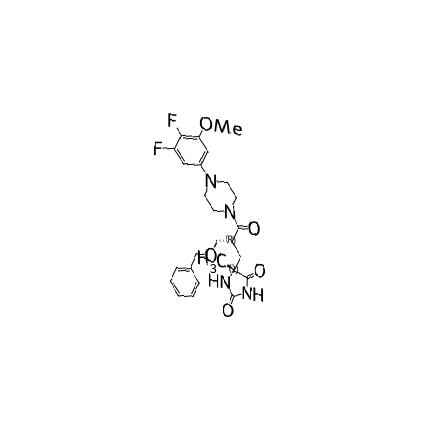 COc1cc(N2CCN(C(=O)[C@@H](COCc3ccccc3)C[C@@]3(C)NC(=O)NC3=O)CC2)cc(F)c1F